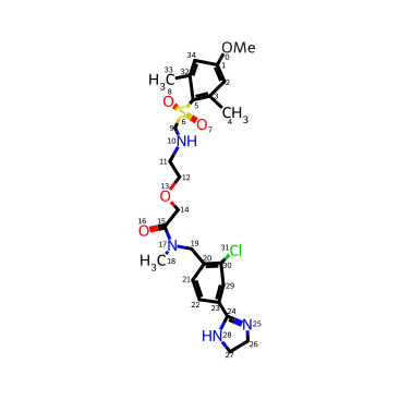 COc1cc(C)c(S(=O)(=O)CNCCOCC(=O)N(C)Cc2ccc(C3=NCCN3)cc2Cl)c(C)c1